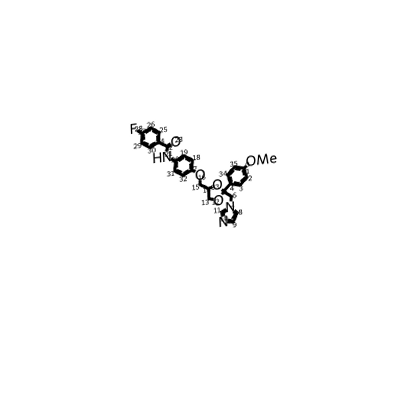 COc1ccc(C2(Cn3ccnc3)OCC(COc3ccc(NC(=O)c4ccc(F)cc4)cc3)O2)cc1